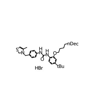 Br.CCCCCCCCCCCCCCOc1cc(C(C)(C)C)ccc1NC(=O)Nc1ccc(CN2CSC=C2C)cc1